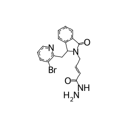 NNC(=O)/C=C/CN1C(=O)c2ccccc2C1Cc1ncccc1Br